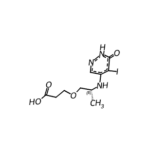 C[C@H](COCCC(=O)O)Nc1cn[nH]c(=O)c1I